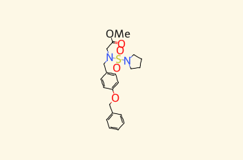 COC(=O)CN(Cc1ccc(OCc2ccccc2)cc1)S(=O)(=O)N1CCCC1